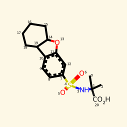 CC(C)(NS(=O)(=O)c1ccc2c(c1)OC1CCCCC21)C(=O)O